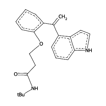 C=C(c1ccccc1OCCC(=O)NC(C)(C)C)c1cccc2[nH]ccc12